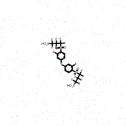 O=S(=O)(O)C(F)(F)C(F)(F)C(F)(F)S(=O)(=O)c1ccc(Sc2ccc(S(=O)(=O)C(F)(F)C(F)(F)C(F)(F)S(=O)(=O)O)c(F)c2)cc1F